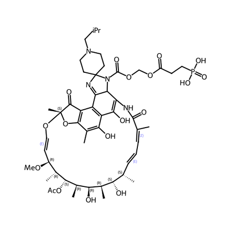 CO[C@H]1/C=C/O[C@@]2(C)Oc3c(C)c(O)c4c(c3C2=O)C2=NC3(CCN(CC(C)C)CC3)N(C(=O)OCOC(=O)CCP(=O)(O)O)C2C(=C4O)NC(=O)/C(C)=C\C=C\[C@H](C)[C@H](O)[C@@H](C)[C@@H](O)[C@@H](C)[C@H](OC(C)=O)[C@@H]1C